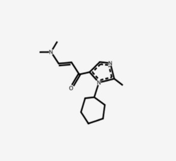 Cc1ncc(C(=O)C=CN(C)C)n1C1CCCCC1